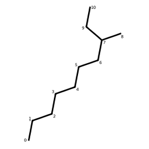 C[CH]CCCCCC(C)CC